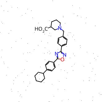 O=C(O)C1CCCN(Cc2ccc(-c3noc(-c4ccc(C5CCCCC5)cc4)n3)cc2)C1